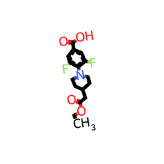 CCOC(=O)CC1CCN(c2c(F)cc(C(=O)O)cc2F)CC1